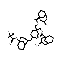 CC1CC2CCCC(C(=O)OCC3(COC(=O)C45CCCC(CC(C)C4)C5)COC(CC4CCC5(OC(=O)C(F)(F)S(=O)(=O)O)CCCC4C5)OC3)(C1)C2